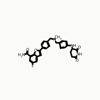 CN(Cc1ccc(NC2CCC(=O)NC2=O)cc1)Cc1ccc(-c2cc3cc(F)cc(C(N)=O)c3o2)cc1